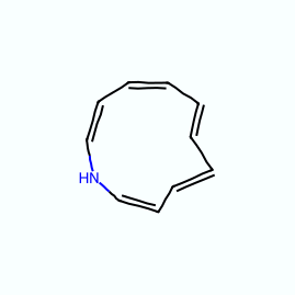 C1=CNC=C/C=C/C=C/C=C\1